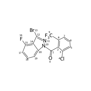 O=C(c1c(Cl)cccc1C(F)(F)F)n1nc(Br)c2c(F)cccc21